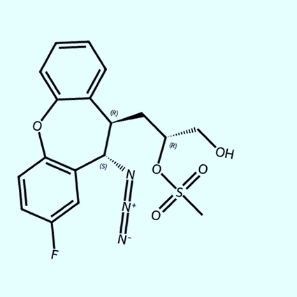 CS(=O)(=O)O[C@@H](CO)C[C@@H]1c2ccccc2Oc2ccc(F)cc2[C@H]1N=[N+]=[N-]